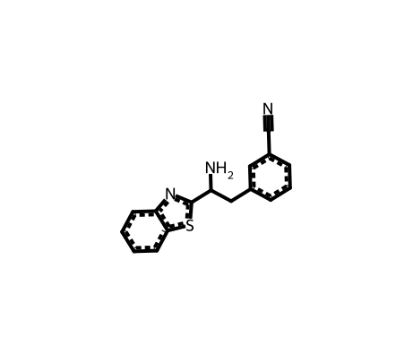 N#Cc1cccc(CC(N)c2nc3ccccc3s2)c1